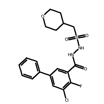 O=C(NNS(=O)(=O)CC1CCOCC1)c1cc(-c2ccccc2)cc(Cl)c1F